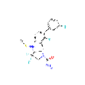 CCSN[C@@H]1[C@H](Cc2cccc(-c3cccc(F)c3)c2F)N(C(N)=O)CC1(F)F